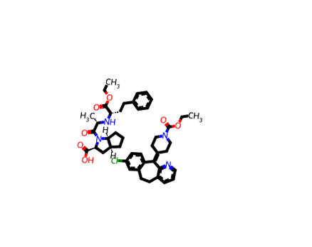 CCOC(=O)N1CCC(=C2c3ccc(Cl)cc3CCc3cccnc32)CC1.CCOC(=O)[C@H](CCc1ccccc1)N[C@@H](C)C(=O)N1[C@H](C(=O)O)C[C@@H]2CCC[C@@H]21